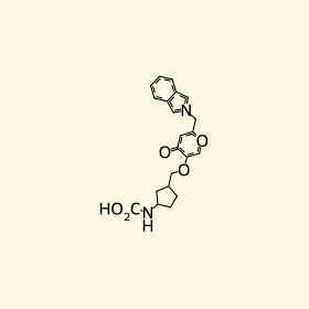 O=C(O)NC1CCC(COc2coc(Cn3cc4ccccc4c3)cc2=O)C1